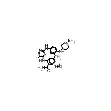 Cc1cc(Nc2ncc(F)c(NC3C4C=CC(C4)C3C(N)=O)n2)ccc1NC1CCN(C)CC1.Cl.Cl